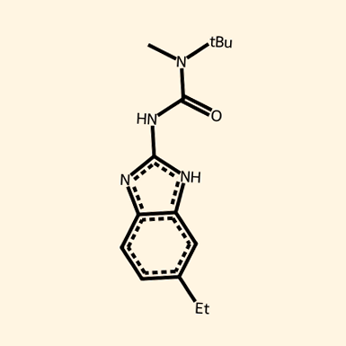 CCc1ccc2nc(NC(=O)N(C)C(C)(C)C)[nH]c2c1